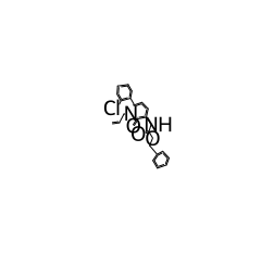 C=CCn1c(-c2ccccc2Cl)ccc(NC(=O)OCc2ccccc2)c1=O